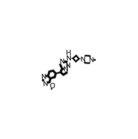 COc1ncnc2ccc(-c3ccn4nc(N[C@H]5C[C@@H](N6CCN(C)CC6)C5)ncc34)cc12